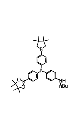 CCCCNc1ccc(N(c2ccc(B3CC(C)(C)C(C)(C)C3)cc2)c2ccc(B3OC(C)(C)C(C)(C)O3)cc2)cc1